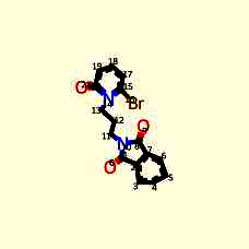 O=C1c2ccccc2C(=O)N1CCCn1c(Br)cccc1=O